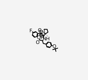 CC(C)(C)Oc1ccc(CC(NC(=O)[C@]2(C)CCCN2S(=O)(=O)c2cccc(F)c2)C(=O)O)cc1